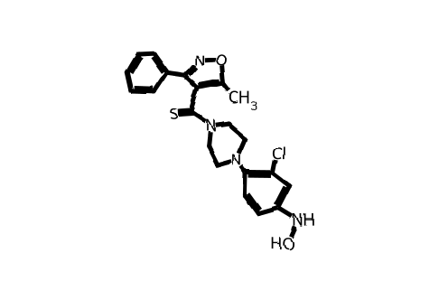 Cc1onc(-c2ccccc2)c1C(=S)N1CCN(c2ccc(NO)cc2Cl)CC1